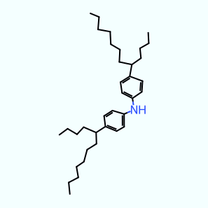 CCCCCCCC(CCCC)c1ccc(Nc2ccc(C(CCCC)CCCCCCC)cc2)cc1